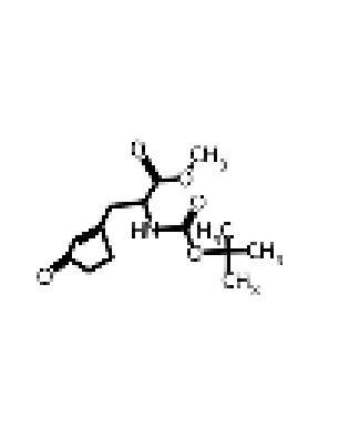 COC(=O)C(CC1=CC(=O)CC1)NC(=O)OC(C)(C)C